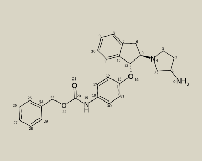 NC1CCN([C@@H]2Cc3ccccc3[C@H]2Oc2ccc(NC(=O)OCc3ccccc3)cc2)C1